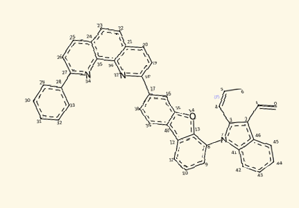 C=Cc1c(/C=C\C)n(-c2cccc3c2oc2cc(-c4ccc5ccc6ccc(-c7ccccc7)nc6c5n4)ccc23)c2ccccc12